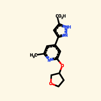 Cc1cc(-c2cc(C(=O)O)[nH]n2)cc(OC2CCOC2)n1